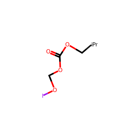 CC(C)COC(=O)OCOI